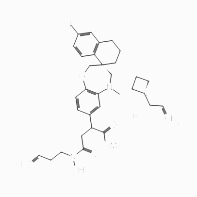 C=CCCN(C)C(=O)CC(C(=O)OC)c1ccc2c(c1)N(C[C@@H]1CC[C@H]1[C@@H](O)C=C)C[C@@]1(CCCc3cc(Cl)ccc31)CO2